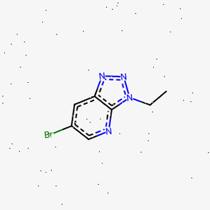 CCn1nnc2cc(Br)cnc21